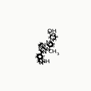 CN(c1ccc(N2CCO[C@@H](CO)C2)nc1)c1nc(-c2ccc3cn[nH]c3c2)cn2ccnc12